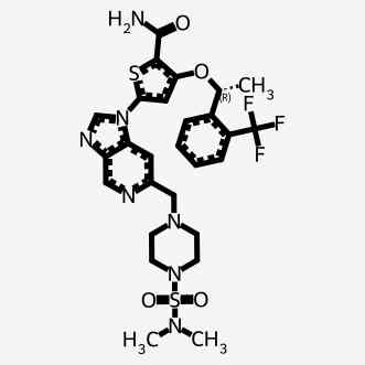 C[C@@H](Oc1cc(-n2cnc3cnc(CN4CCN(S(=O)(=O)N(C)C)CC4)cc32)sc1C(N)=O)c1ccccc1C(F)(F)F